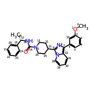 COc1cccc(-c2nc(C3CCN(C(=O)N[C@@H](C)c4ccccc4)CC3)n3ccccc23)c1